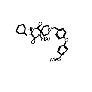 CCCCN1C(=O)[C@H](CC2CCCCC2)NC(=O)C12CCN(Cc1ccc(Oc3ccc(SC)cc3)cc1)CC2